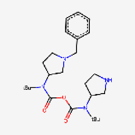 CC(C)(C)N(C(=O)OC(=O)N(C1CCN(Cc2ccccc2)C1)C(C)(C)C)C1CCNC1